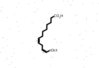 CCCCCCCC/C=C\C/C=C\CCCCCCC(=O)O